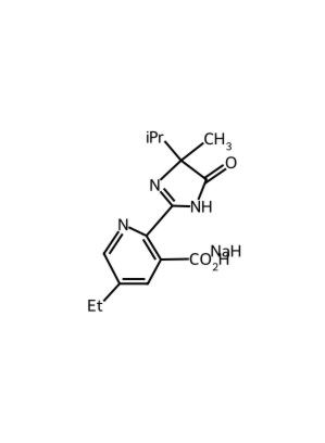 CCc1cnc(C2=NC(C)(C(C)C)C(=O)N2)c(C(=O)O)c1.[NaH]